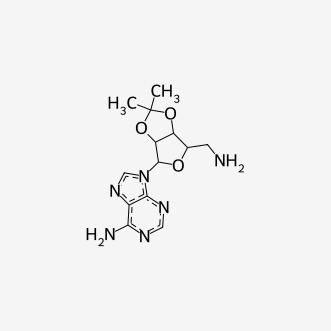 CC1(C)OC2C(CN)OC(n3cnc4c(N)ncnc43)C2O1